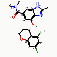 Cc1nc2c(O[C@H]3CCOc4cc(F)cc(F)c43)cc(C(=O)N(C)C)cc2[nH]1